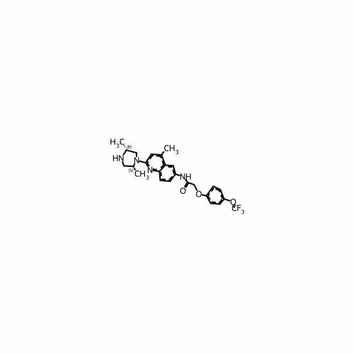 Cc1cc(N2C[C@@H](C)NC[C@@H]2C)nc2ccc(NC(=O)COc3ccc(OC(F)(F)F)cc3)cc12